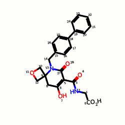 O=C(O)CNC(=O)C1=C(O)CC2(COC2)N(Cc2ccc(-c3ccccc3)cc2)C1=O